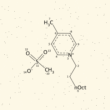 CCCCCCCCCC[n+]1ccc(C)cc1.CS(=O)(=O)[O-]